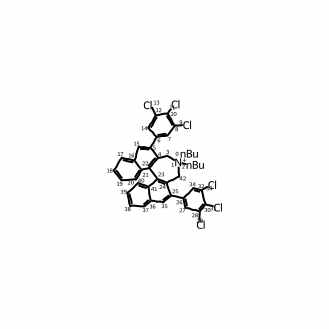 CCCC[N+]1(CCCC)Cc2c(-c3cc(Cl)c(Cl)c(Cl)c3)cc3ccccc3c2-c2c(c(-c3cc(Cl)c(Cl)c(Cl)c3)cc3ccccc23)C1